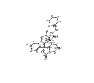 Cc1ccc(C2(c3ccc(C)cc3)OC(=O)C3CNCC(C(=O)NCCN4CCCCC4)N32)cc1